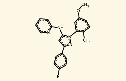 COc1ccc(C)c(-n2nc(-c3ccc(F)cc3)cc2Nc2ccccn2)c1